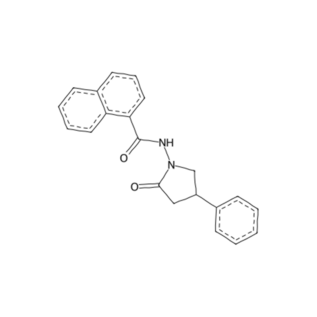 O=C(NN1CC(c2ccccc2)CC1=O)c1cccc2ccccc12